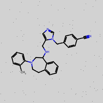 Cc1ccccc1N1CCc2ccccc2C(NCc2cncn2Cc2ccc(C#N)cc2)C1